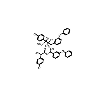 CC(C)C(C(=O)OC(C#N)c1cccc(Oc2ccccc2)c1)c1ccc(Cl)cc1.CCC(C)(Cc1cccc(Oc2ccccc2)c1)C(C#N)(C(=O)O)c1ccc(Cl)cc1